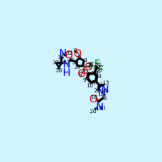 CO[C@H]1C[C@@H](S(=O)(=O)c2ccc(-c3cnn(CC(=O)N(C)C)c3)cc2C(F)(F)F)CC1C(=O)NC1(C#N)CC1